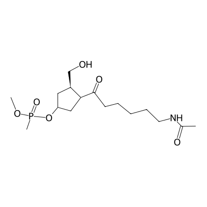 COP(C)(=O)OC1CC(C(=O)CCCCCNC(C)=O)[C@H](CO)C1